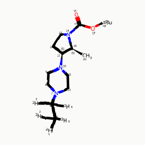 [2H]C([2H])([2H])C([2H])([2H])N1CCN([C@H]2CCN(C(=O)OC(C)(C)C)[C@H]2C)CC1